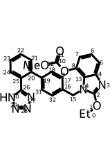 CCOc1nc2cccc(OC(=O)OC)c2n1Cc1ccc(-c2ccccc2-c2nnn[nH]2)cc1